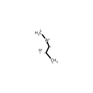 CC[CH2][Al+][CH3].[H-]